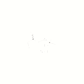 CCC(=O)ONC(C)(O)O.[NaH]